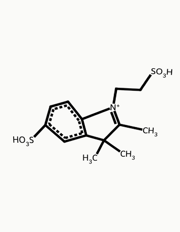 CC1=[N+](CCS(=O)(=O)O)c2ccc(S(=O)(=O)O)cc2C1(C)C